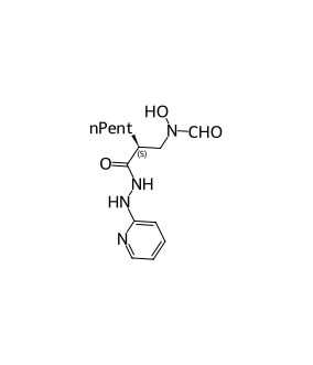 CCCCC[C@@H](CN(O)C=O)C(=O)NNc1ccccn1